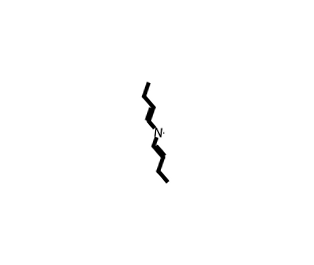 CC/C=C/[N]/C=C/CC